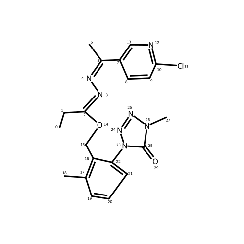 CC/C(=N\N=C(\C)c1ccc(Cl)nc1)OCc1c(C)cccc1-n1nnn(C)c1=O